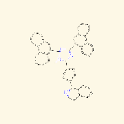 CN1C(c2cc3ccccc3c3ccccc23)=NC(c2cc3ccccc3c3ccccc23)=NC1c1ccc(-c2nccc3ccccc23)cc1